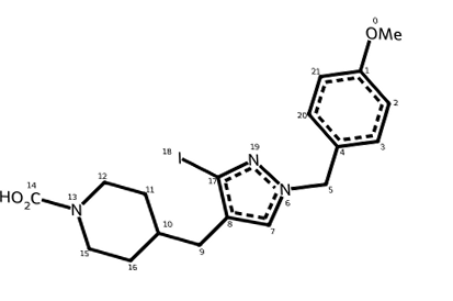 COc1ccc(Cn2cc(CC3CCN(C(=O)O)CC3)c(I)n2)cc1